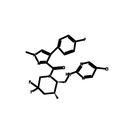 C[C@@H]1CC(F)(F)CN(C(=O)c2nn(C)cc2-c2ccc(F)cc2)[C@@H]1CNc1ncc(Cl)cn1